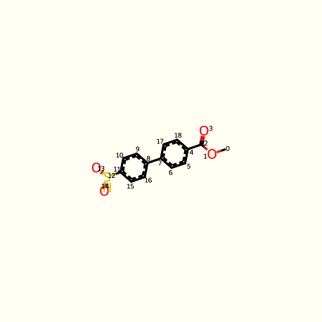 COC(=O)c1ccc(-c2ccc([SH](=O)=O)cc2)cc1